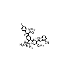 CNC(=O)c1c(-c2ccc(F)cc2)oc2cc(N(C)S(C)(=O)=O)c(-c3ncc(OC)c(-c4cc5c(C#N)cccc5[nH]4)n3)cc12